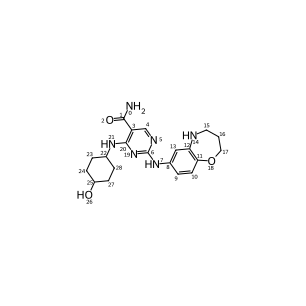 NC(=O)c1cnc(Nc2ccc3c(c2)NCCCO3)nc1NC1CCC(O)CC1